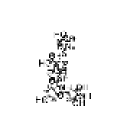 Cn1c(SCC2=C(C(=O)O)N3C(=O)C(NC(=O)C(NC(=O)c4cc(O)c(O)c(O)c4)c4ccc(O)cc4)[C@@H]3SC2)nnc(O)c1=O